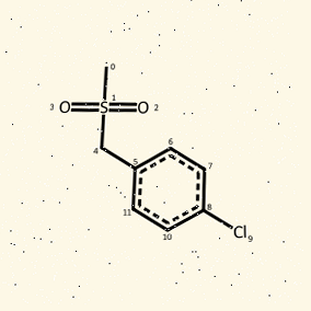 [CH2]S(=O)(=O)Cc1ccc(Cl)cc1